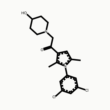 Cc1cc(C(=O)CN2CCC(O)CC2)c(C)n1-c1cc(Cl)cc(Cl)c1